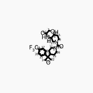 O=C1CO[C@H]2CCN(C(=O)N3CCC(C4(c5ccc(C(F)(F)F)cc5)COC4)CC3)C[C@H]2N1